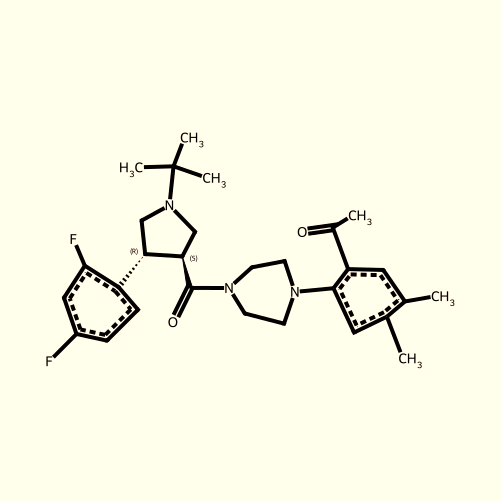 CC(=O)c1cc(C)c(C)cc1N1CCN(C(=O)[C@@H]2CN(C(C)(C)C)C[C@H]2c2ccc(F)cc2F)CC1